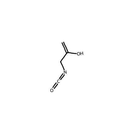 C=C(O)CN=C=O